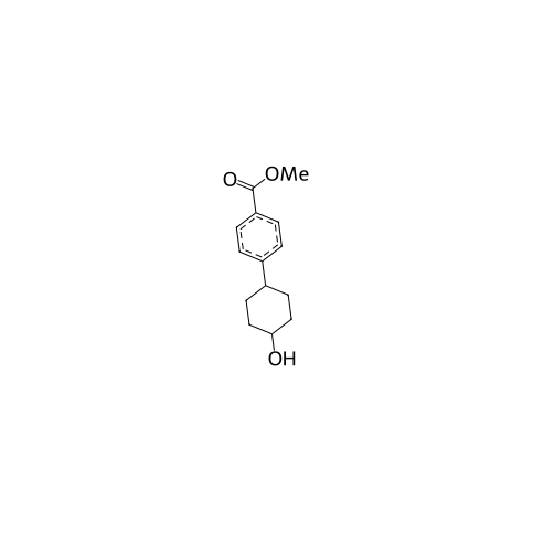 COC(=O)c1ccc(C2CCC(O)CC2)cc1